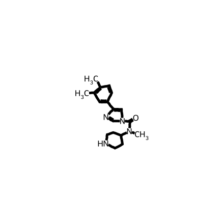 Cc1ccc(-c2cn(C(=O)N(C)C3CCNCC3)cn2)cc1C